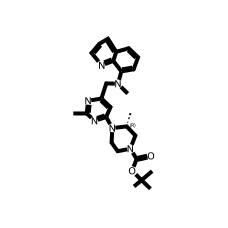 Cc1nc(CN(C)c2cccc3cccnc23)cc(N2CCN(C(=O)OC(C)(C)C)C[C@H]2C)n1